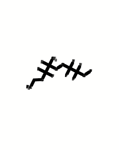 FOC(F)(F)C(F)(F)OOC(F)(C(F)(F)F)C(F)(F)OCC(F)(F)F